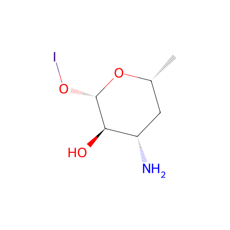 C[C@@H]1C[C@H](N)[C@@H](O)[C@H](OI)O1